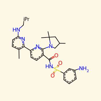 Cc1ccc(NCC(C)C)nc1-c1ccc(C(=O)NS(=O)(=O)c2cccc(N)c2)c(N2CC(C)CC2(C)C)n1